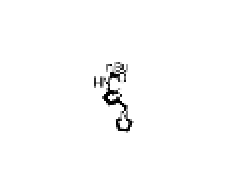 CCCCC(=O)Nc1ccc(CN2CCCC2)s1